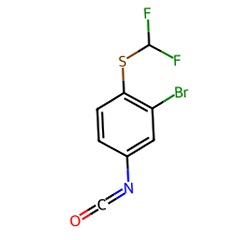 O=C=Nc1ccc(SC(F)F)c(Br)c1